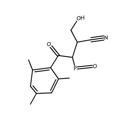 Cc1cc(C)c(C(=O)C(P=O)C(C#N)CO)c(C)c1